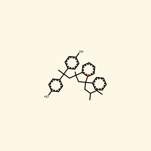 CCC(C)CC(C)(CC(C)(CC(C)(c1ccc(O)cc1)c1ccc(O)cc1)c1ccccc1)c1ccccc1